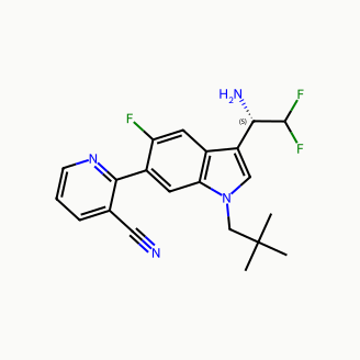 CC(C)(C)Cn1cc([C@H](N)C(F)F)c2cc(F)c(-c3ncccc3C#N)cc21